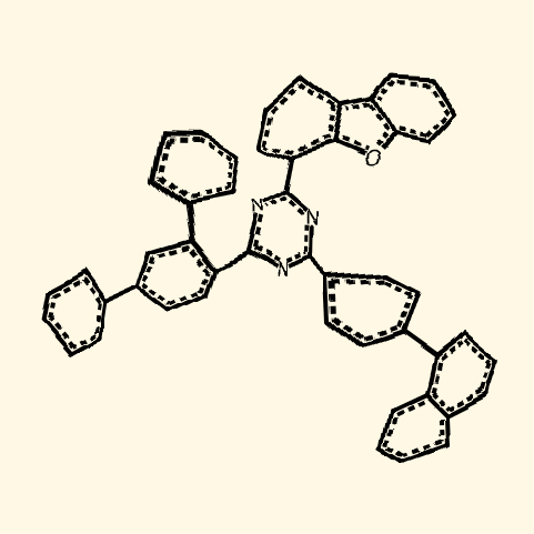 c1ccc(-c2ccc(-c3nc(-c4ccc(-c5cccc6ccccc56)cc4)nc(-c4cccc5c4oc4ccccc45)n3)c(-c3ccccc3)c2)cc1